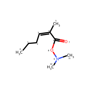 CCCC=C(C)C(=O)ON(C)C